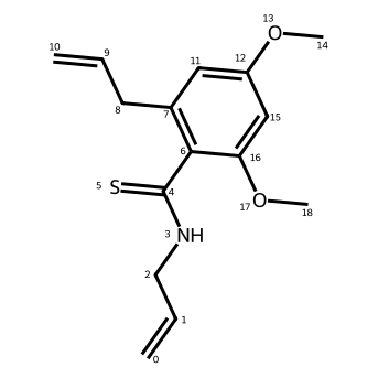 C=CCNC(=S)c1c(CC=C)cc(OC)cc1OC